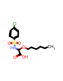 CCCCCCOC(NS(=O)(=O)c1ccc(Cl)cc1)C(=O)O